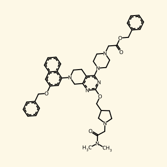 CN(C)C(=O)CN1CCC(COc2nc3c(c(N4CCN(CC(=O)OCc5ccccc5)CC4)n2)CCN(c2cc(OCc4ccccc4)cc4ccccc24)C3)C1